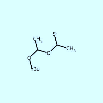 CCCCOC(C)OC(C)[S]